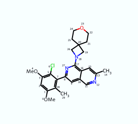 COc1cc(OC)c(Cl)c(-c2cc3cnc(C)cc3c(N3CC4(CCOCC4)C3)n2)c1C